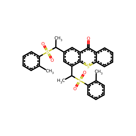 Cc1ccccc1S(=O)(=O)C(C)c1cc(C(C)S(=O)(=O)c2ccccc2C)c2sc3ccccc3c(=O)c2c1